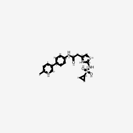 Cc1ccc(-c2ccc(NC(=O)Cc3csc(NS(=O)(=O)C4CC4)n3)cc2)cn1